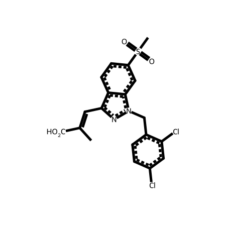 C/C(=C\c1nn(Cc2ccc(Cl)cc2Cl)c2cc(S(C)(=O)=O)ccc12)C(=O)O